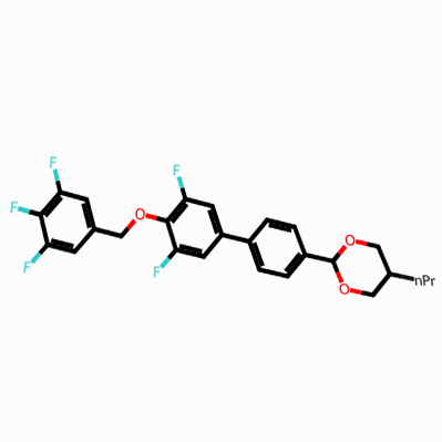 CCCC1COC(c2ccc(-c3cc(F)c(OCc4cc(F)c(F)c(F)c4)c(F)c3)cc2)OC1